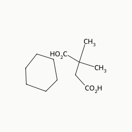 C1CCCCC1.CC(C)(CC(=O)O)C(=O)O